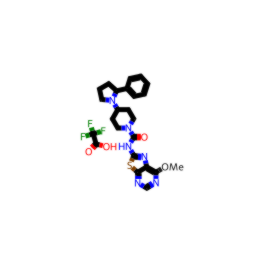 COc1ncnc2sc(NC(=O)N3CCC(N4CCCC4c4ccccc4)CC3)nc12.O=C(O)C(F)(F)F